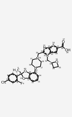 C[C@]1(c2ccc(Cl)cc2F)Oc2cccc(N3CCN(Cc4nc5sc(C(=O)O)cc5n4C[C@@H]4CCO4)CC3)c2O1